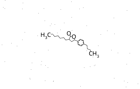 CCCCCCCC1CC(c2ccc(CCCC)cc2)OC1=O